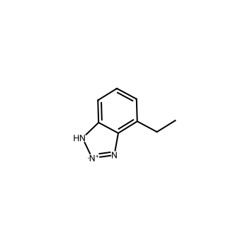 CCc1cccc2c1N=[N+]N2